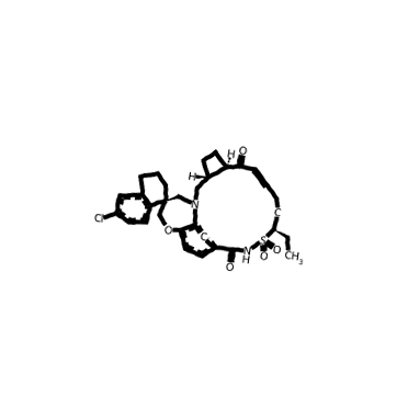 CC[C@@H]1CC/C=C\C(=O)[C@@H]2CC[C@H]2CN2C[C@@]3(CCCc4cc(Cl)ccc43)COc3ccc(cc32)C(=O)NS1(=O)=O